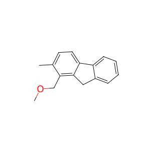 COCc1c(C)ccc2c1Cc1ccccc1-2